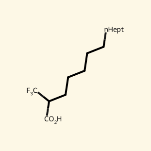 CCCCCCCCCCCCC(C(=O)O)C(F)(F)F